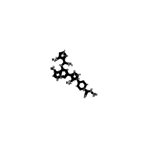 Cc1cnsc1C(C)Oc1cc(-c2nnn(C3CCN(C(=O)OC(C)(C)C)CC3)c2C)cn2ncc(C#N)c12